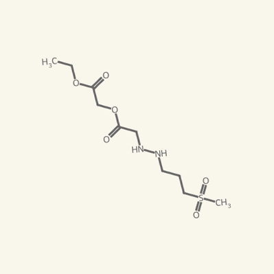 CCOC(=O)COC(=O)CNNCCCS(C)(=O)=O